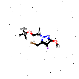 CCOc1nn([C@H](C)CO[Si](C)(C)C(C)(C)C)c(CBr)c1I